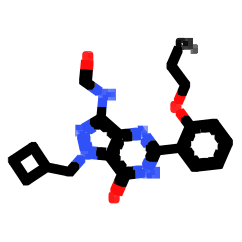 CCCOc1ccccc1-c1nc2c(NC=O)nn(CC3CCC3)c2c(=O)[nH]1